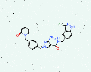 Nc1nn(Cc2ccc(Cn3ccccc3=O)cc2)cc1C(=O)NCc1ccc2[nH]nc(Cl)c2c1